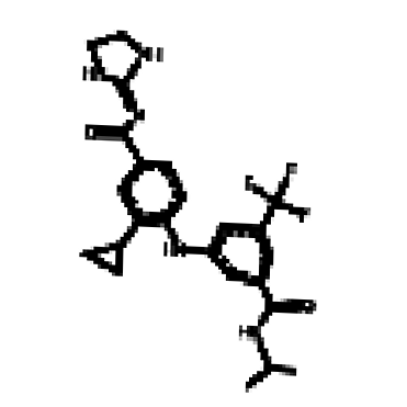 CC(C)NC(=O)c1cc(Nc2ccc(C(=O)N=C3NCCN3)cc2C2CC2)cc(C(F)(F)F)c1